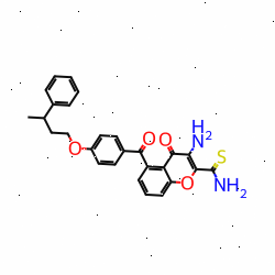 CC(CCOc1ccc(C(=O)c2cccc3oc(C(N)=S)c(N)c(=O)c23)cc1)c1ccccc1